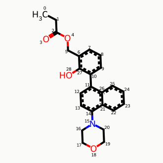 CCC(=O)OCc1cccc(-c2ccc(N3CCOCC3)c3ccccc23)c1O